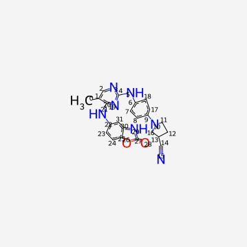 Cc1cnc(Nc2ccc(N3CCC(C#N)C3)cc2)nc1Nc1ccc2oc(=O)[nH]c2c1